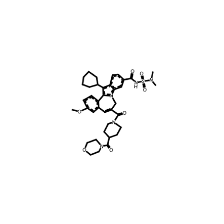 COc1ccc2c(c1)C=C(C(=O)N1CCC(C(=O)N3CCOCC3)CC1)Cn1c-2c(C2CCCCC2)c2ccc(C(=O)NS(=O)(=O)N(C)C)cc21